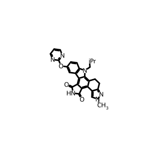 CC(C)Cn1c2ccc(Oc3ncccn3)cc2c2c3c(c4c(c21)CCc1nn(C)cc1-4)C(=O)NC3=O